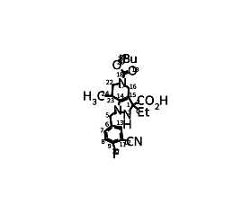 CCC1(C(=O)O)NN(Cc2ccc(F)c(C#N)c2)C2=C1CN(C(=O)OC(C)(C)C)CC2C